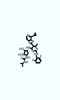 Cc1nc(NCc2c(F)cccc2F)nc(N[C@@H]2C[C@H](NC(=O)NC(C)C)[C@@H](O)[C@H]2O)c1-c1nc2c(C3CC3)nccc2s1